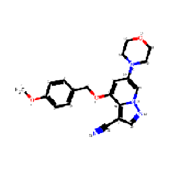 COc1ccc(COc2cc(N3CCOCC3)cn3ncc(C#N)c23)cc1